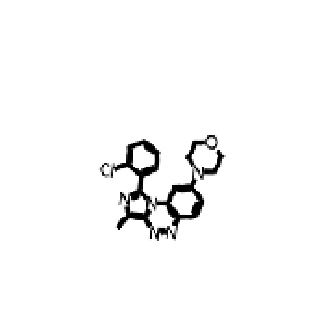 Cc1nc(-c2ccccc2Cl)n2c1nnc1ccc(N3CCOCC3)cc12